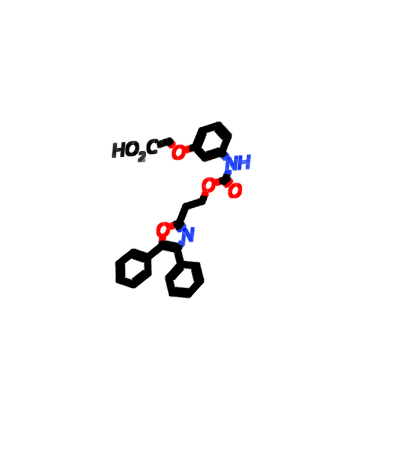 O=C(O)COc1cccc(NC(=O)OCCc2nc(-c3ccccc3)c(-c3ccccc3)o2)c1